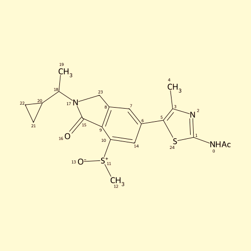 CC(=O)Nc1nc(C)c(-c2cc3c(c([S+](C)[O-])c2)C(=O)N(C(C)C2CC2)C3)s1